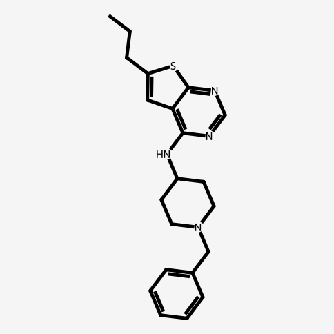 CCCc1cc2c(NC3CCN(Cc4ccccc4)CC3)ncnc2s1